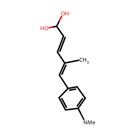 CNc1ccc(/C=C(C)/C=C/C(O)O)cc1